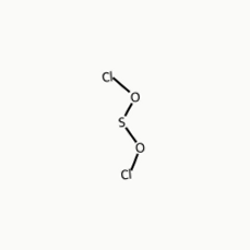 ClOSOCl